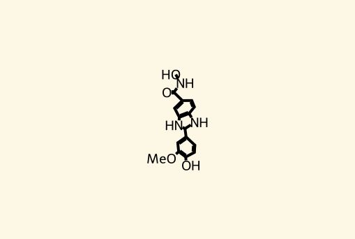 COc1cc(C2Nc3ccc(C(=O)NO)cc3N2)ccc1O